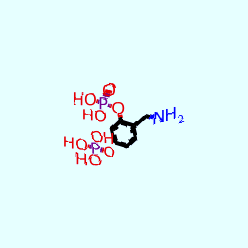 NCc1ccccc1OP(=O)(O)O.O=P(O)(O)O